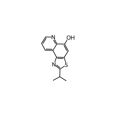 CC(C)c1nc2c(cc(O)c3ncccc32)s1